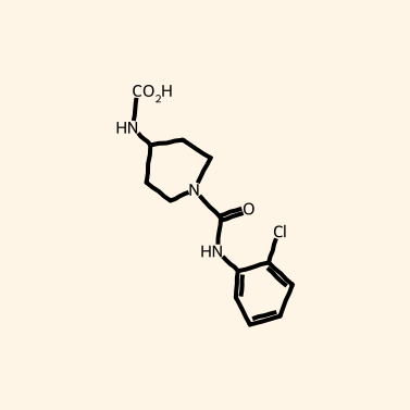 O=C(O)NC1CCN(C(=O)Nc2ccccc2Cl)CC1